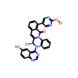 CCOc1ncc(-c2cccc3cc([C@H](CC)Nc4ncnc5ccc(C#N)cc45)n(-c4ccccc4)c(=O)c23)cn1